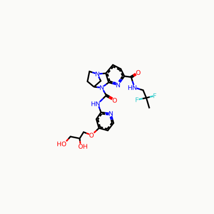 CC(F)(F)CNC(=O)c1ccc2c(n1)N(C(=O)Nc1cc(OCC(O)CO)ccn1)C1CCN2C1